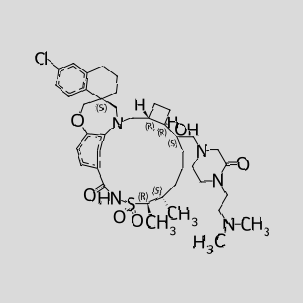 C[C@@H]1[C@@H](C)CCC[C@@](O)(CN2CCN(CCN(C)C)C(=O)C2)[C@@H]2CC[C@H]2CN2C[C@@]3(CCCc4cc(Cl)ccc43)COc3ccc(cc32)C(=O)NS1(=O)=O